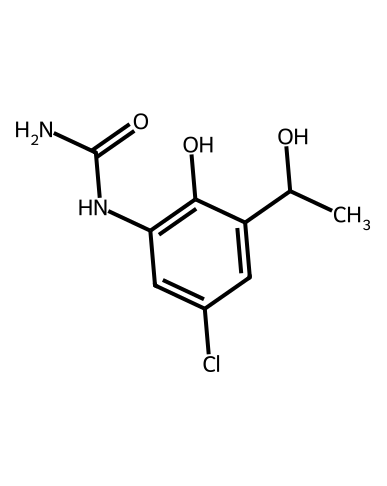 CC(O)c1cc(Cl)cc(NC(N)=O)c1O